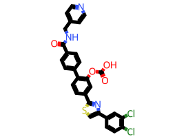 O=C(O)Oc1cc(-c2nc(-c3ccc(Cl)c(Cl)c3)cs2)ccc1-c1ccc(C(=O)NCc2ccncc2)cc1